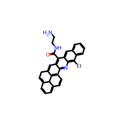 CCc1c2ccccc2cc2c(C(=O)NCCN)c3cc4c5c(c3nc12)C=CC1=CC=CC(=CC4)C15